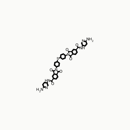 Nc1ccc(NC(=O)c2ccc3c(c2)C(=O)N(c2ccc(Sc4ccc(N5C(=O)c6ccc(C(=O)Nc7ccc(N)nc7)cc6C5=O)cc4)cc2)C3=O)cn1